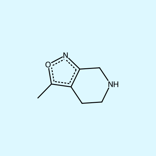 Cc1onc2c1CCNC2